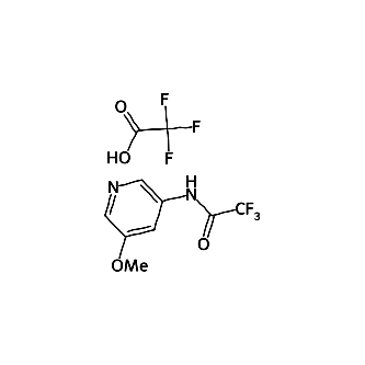 COc1cncc(NC(=O)C(F)(F)F)c1.O=C(O)C(F)(F)F